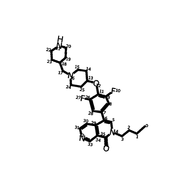 CCCCn1cc(-c2cc(F)c(OC3CCN(CC4CCNCC4)CC3)c(F)c2)c2ccncc2c1=O